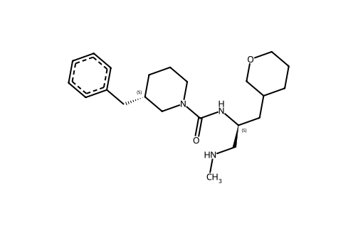 CNC[C@H](CC1CCCOC1)NC(=O)N1CCC[C@@H](Cc2ccccc2)C1